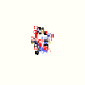 CC1(C)S[C@@H]2[C@H](NC(=O)[C@H](N)c3ccccc3)C(=O)N2[C@H]1C(=O)OCOC(=O)[C@@H]1N2C(=O)C[C@H]2S(=O)(=O)C1(C)C.CO/N=C(\C(=O)N[C@@H]1C(=O)N2C(C(=O)O)=C(COC(N)=O)CS[C@H]12)c1ccco1